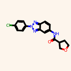 O=C(Nc1ccc2nn(-c3ccc(Cl)cc3)nc2c1)C1CCOC1